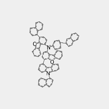 c1ccc2cc(-c3ccc(N(c4ccc(-c5cccc6ccccc56)c5oc6ccccc6c45)c4ccc(-c5cccc6c5c5ccccc5n6-c5cccc6ccccc56)c5oc6ccccc6c45)cc3)ccc2c1